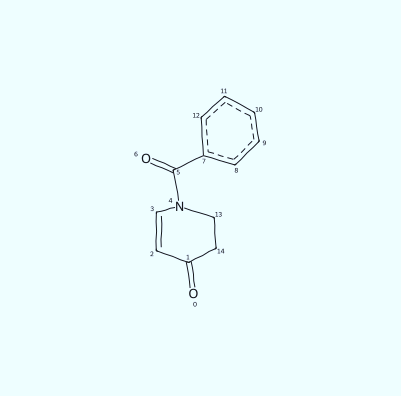 O=C1C=CN(C(=O)c2ccccc2)CC1